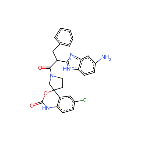 Nc1ccc2[nH]c(C(Cc3ccccc3)C(=O)N3CCC4(C3)OC(=O)Nc3ccc(Cl)cc34)nc2c1